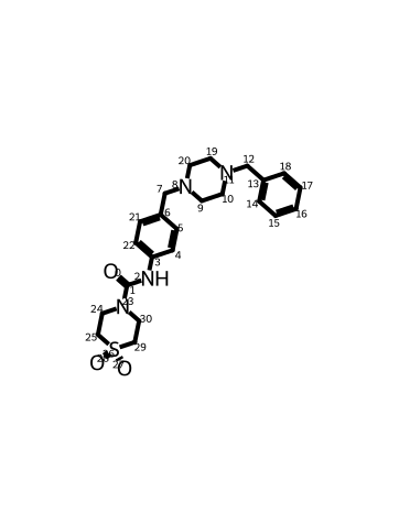 O=C(Nc1ccc(CN2CCN(Cc3ccccc3)CC2)cc1)N1CCS(=O)(=O)CC1